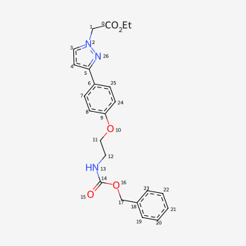 CCOC(=O)Cn1ccc(-c2ccc(OCCNC(=O)OCc3ccccc3)cc2)n1